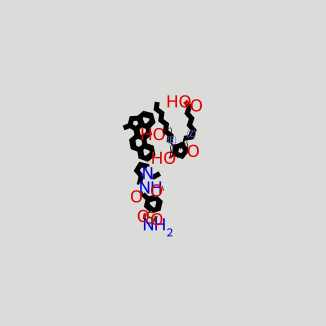 CC1Cc2cccc3cc4c(ccc5ccccc54)c1c23.CCCCC[C@H](O)/C=C/[C@H]1[C@H](O)CC(=O)[C@@H]1C/C=C\CCCC(=O)O.CCN1CCCC1CNC(=O)c1cc(S(N)(=O)=O)ccc1OC